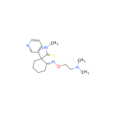 CNC(=S)C1(c2cccnc2)CCCCC1=NOCCN(C)C